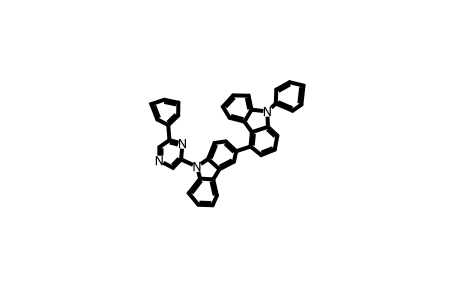 c1ccc(-c2cncc(-n3c4ccccc4c4cc(-c5cccc6c5c5ccccc5n6-c5ccccc5)ccc43)n2)cc1